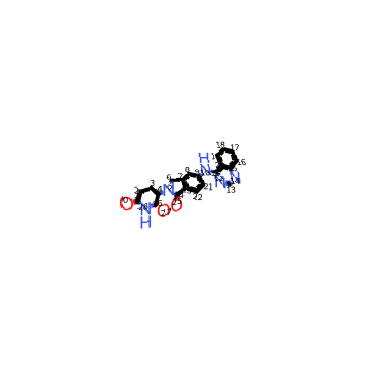 O=C1CCC(N2Cc3cc(Nc4ncnc5ccccc45)ccc3C2=O)C(=O)N1